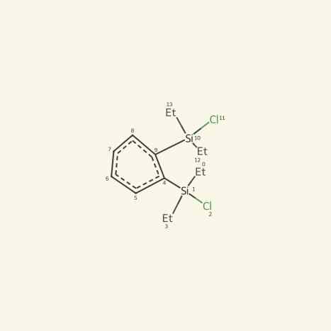 CC[Si](Cl)(CC)c1ccccc1[Si](Cl)(CC)CC